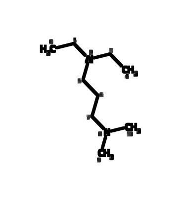 C[CH2][Al]([CH2]C)[CH2]CCN(C)C